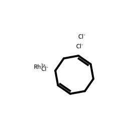 C1=C\CC/C=C\CC/1.[Cl-].[Cl-].[Cl-].[Rh+3]